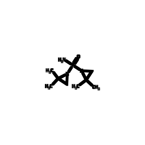 CC1(C)CN1P(N)(=O)N1CC1(C)C